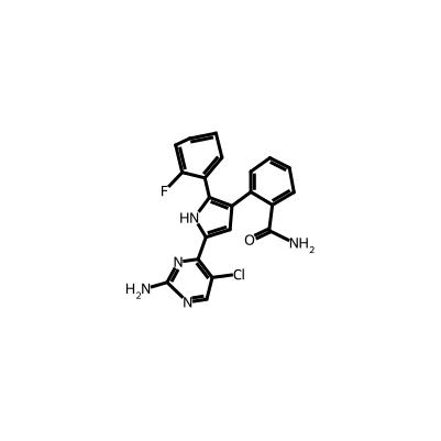 NC(=O)c1ccccc1-c1cc(-c2nc(N)ncc2Cl)[nH]c1-c1ccccc1F